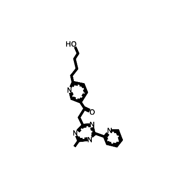 Cc1nc(CC(=O)c2ccc(CCCCO)nc2)nc(-c2ccccn2)n1